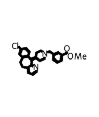 COC(=O)c1cccc(CN2CCC(=C3c4ccc(Cl)cc4CCc4cccnc43)CC2)c1